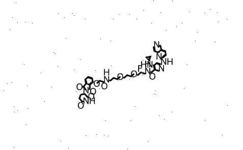 O=C(COc1cccc2c1C(=O)N(C1CCC(=O)NC1=O)C2=O)NCCCOCCCOCC(F)CNC(=O)c1cnc(Nc2ccc3cnccc3n2)cc1NC1CC1